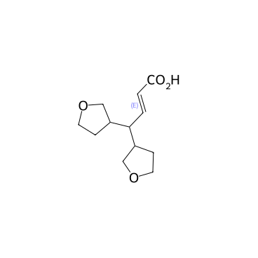 O=C(O)/C=C/C(C1CCOC1)C1CCOC1